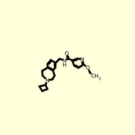 CCOc1ccc(C(=O)NCc2ccc3c(c2)CCN(C2CCC2)CC3)cn1